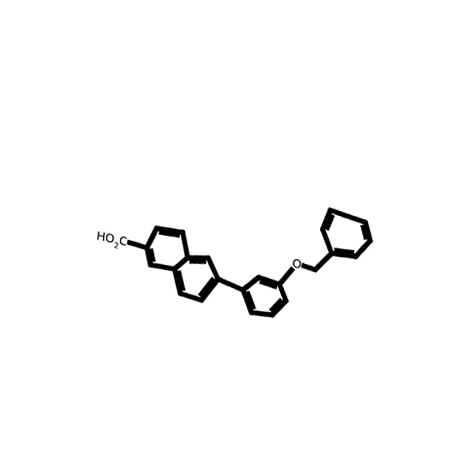 O=C(O)c1ccc2cc(-c3cccc(OCc4ccccc4)c3)ccc2c1